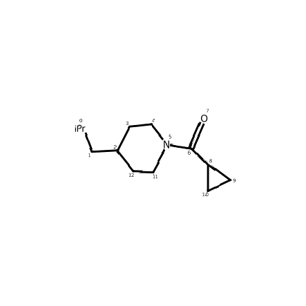 CC(C)CC1CCN(C(=O)C2CC2)CC1